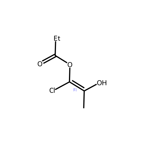 CCC(=O)O/C(Cl)=C(/C)O